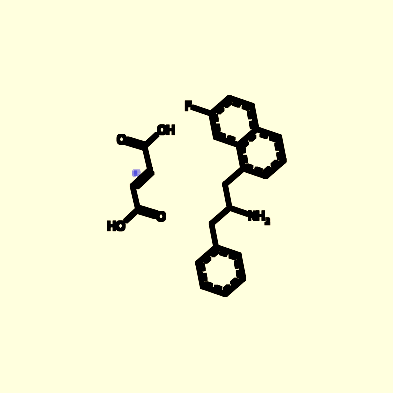 NC(Cc1ccccc1)Cc1cccc2ccc(F)cc12.O=C(O)/C=C/C(=O)O